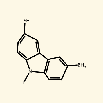 Bc1ccc2c(c1)c1cc(S)ccc1n2I